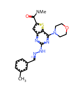 CNC(=O)c1cc2nc(N/N=C/c3cccc(C)c3)nc(N3CCOCC3)c2s1